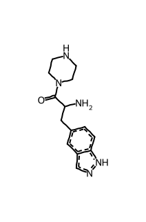 NC(Cc1ccc2[nH]ncc2c1)C(=O)N1CCNCC1